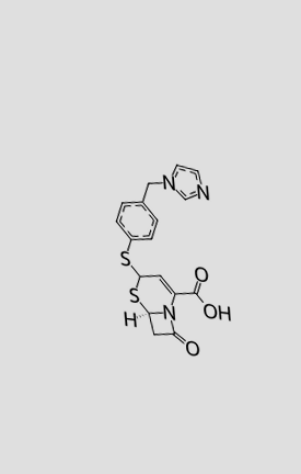 O=C(O)C1=CC(Sc2ccc(Cn3ccnc3)cc2)S[C@@H]2CC(=O)N12